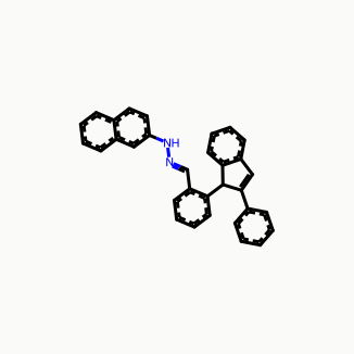 C(=NNc1ccc2ccccc2c1)c1ccccc1C1C(c2ccccc2)=Cc2ccccc21